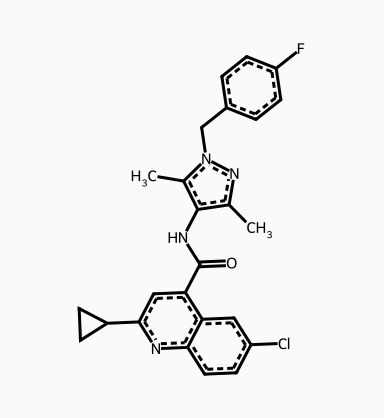 Cc1nn(Cc2ccc(F)cc2)c(C)c1NC(=O)c1cc(C2CC2)nc2ccc(Cl)cc12